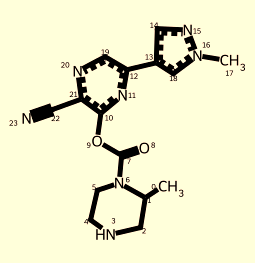 CC1CNCCN1C(=O)Oc1nc(-c2cnn(C)c2)cnc1C#N